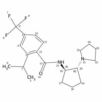 CC(C)c1cc(C(F)(F)F)ccc1C(=O)N[C@@H]1CCC[C@H]1N1CCCC1